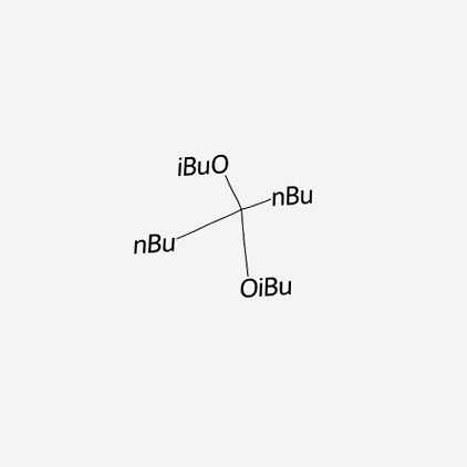 CCCCC(CCCC)(OCC(C)C)OCC(C)C